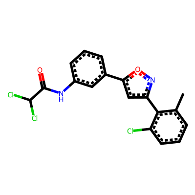 Cc1cccc(Cl)c1-c1cc(-c2cccc(NC(=O)C(Cl)Cl)c2)on1